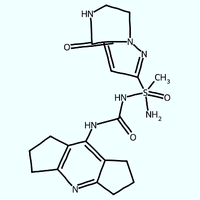 CS(N)(=O)(NC(=O)Nc1c2c(nc3c1CCC3)CCC2)c1cc2n(n1)CCNC2=O